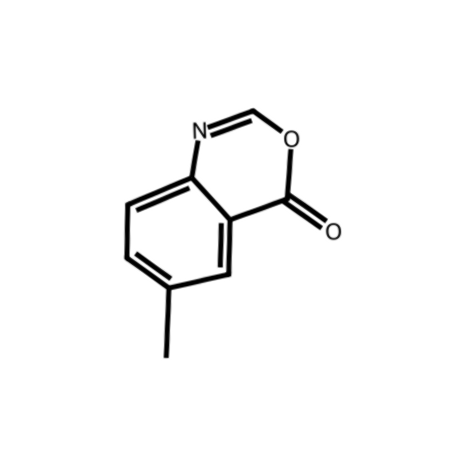 Cc1ccc2ncoc(=O)c2c1